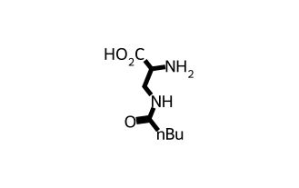 CCCCC(=O)NCC(N)C(=O)O